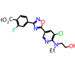 CCN(CCO)c1ncc(-c2nc(-c3ccc(C(=O)O)c(F)c3)no2)cc1Cl